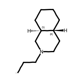 [CH2]CCN1CC[C@H]2CCCC[C@@H]2C1